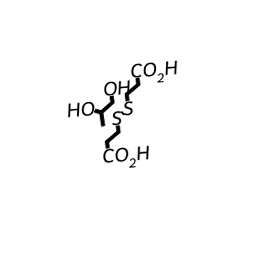 CC(O)CO.O=C(O)CCSSCCC(=O)O